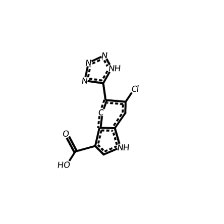 O=C(O)c1c[nH]c2cc(Cl)c(-c3nnn[nH]3)cc12